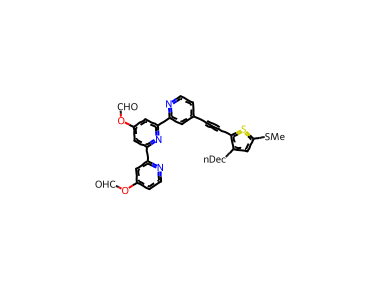 CCCCCCCCCCc1cc(SC)sc1C#Cc1ccnc(-c2cc(OC=O)cc(-c3cc(OC=O)ccn3)n2)c1